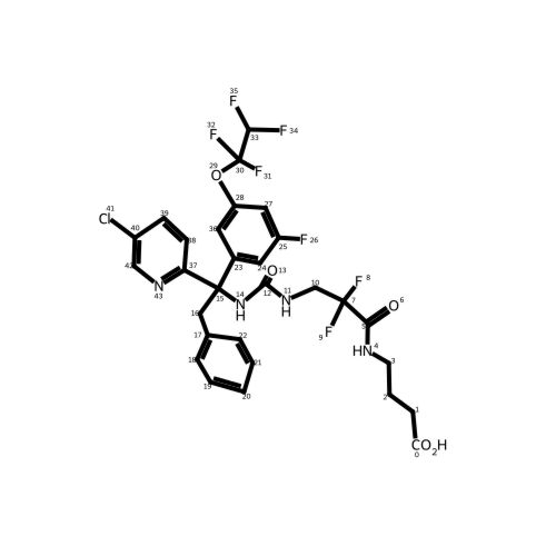 O=C(O)CCCNC(=O)C(F)(F)CNC(=O)NC(Cc1ccccc1)(c1cc(F)cc(OC(F)(F)C(F)F)c1)c1ccc(Cl)cn1